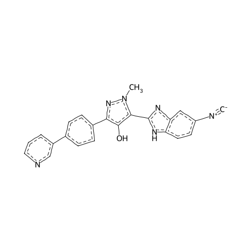 [C-]#[N+]c1ccc2[nH]c(-c3c(O)c(-c4ccc(-c5cccnc5)cc4)nn3C)nc2c1